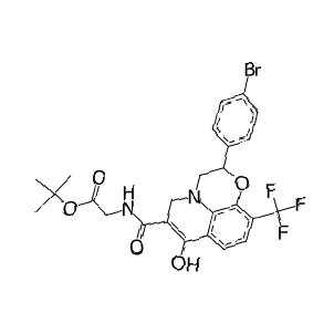 CC(C)(C)OC(=O)CNC(=O)C1=C(O)c2ccc(C(F)(F)F)c3c2N(C1)CC(c1ccc(Br)cc1)O3